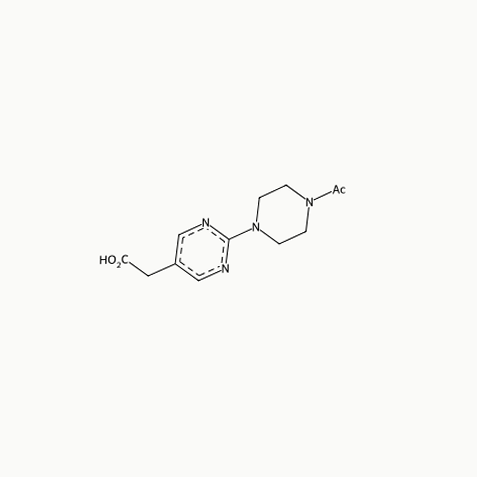 CC(=O)N1CCN(c2ncc(CC(=O)O)cn2)CC1